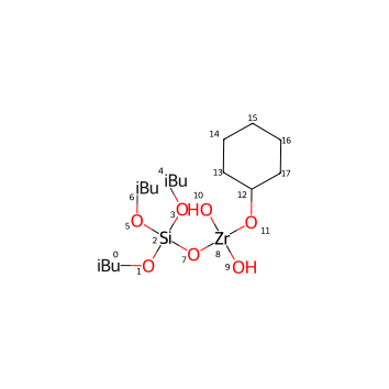 CCC(C)O[Si](OC(C)CC)(OC(C)CC)[O][Zr]([OH])([OH])[O]C1CCCCC1